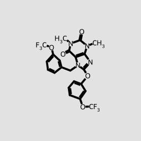 Cn1c(=O)c2c(nc(Oc3cccc(OC(F)(F)F)c3)n2Cc2cccc(OC(F)(F)F)c2)n(C)c1=O